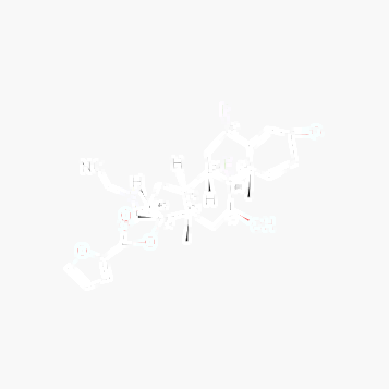 C[C@]12C=CC(=O)C=C1[C@@H](F)C[C@H]1[C@@H]3C[C@H]4OC(c5ccco5)O[C@@]4(C(=O)SCC#N)[C@@]3(C)C[C@H](O)[C@@]12F